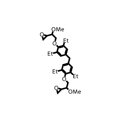 CCc1cc(Cc2cc(CC)c(OCC(OC)C3CO3)c(CC)c2)cc(CC)c1OCC(OC)C1CO1